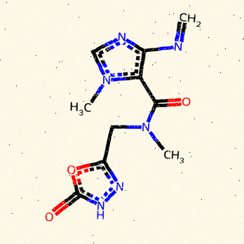 C=Nc1ncn(C)c1C(=O)N(C)Cc1n[nH]c(=O)o1